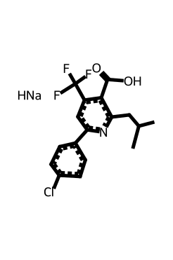 CC(C)Cc1nc(-c2ccc(Cl)cc2)cc(C(F)(F)F)c1C(=O)O.[NaH]